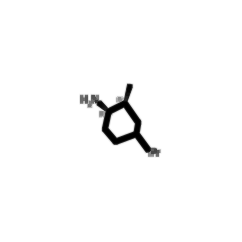 CC(C)C1CC[C@@H](N)[C@@H](C)C1